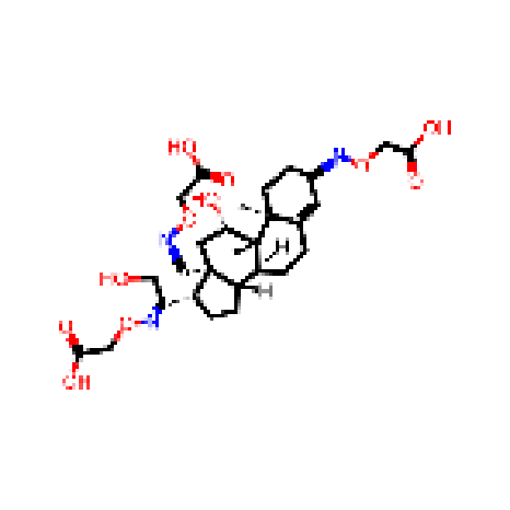 C[C@]12[C@@H](O)C[C@]3(/C=N\OCC(=O)O)[C@@H](/C(CO)=N/OCC(=O)O)CC[C@H]3[C@@H]1CCC1=C/C(=N\OCC(=O)O)CC[C@@]12C